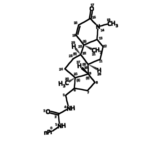 CCCNC(=O)NCC1CC[C@H]2[C@@H]3CCC4N(C)C(=O)C=C[C@]4(C)[C@@H]3CC[C@]12C